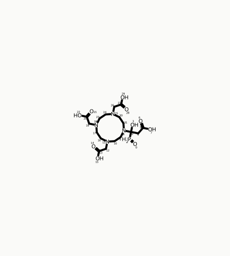 O=[PH2]C(O)(CC(=O)O)N1CCN(CC(=O)O)CCN(CC(=O)O)CCN(CC(=O)O)CC1